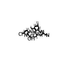 CCc1nc2c(C(C)Nc3ccc(Cl)nc3C(=O)O)cc(C)cc2c2nc(C#N)cn12